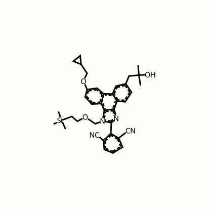 CC(C)(O)Cc1ccc2c(c1)c1cc(OCC3CC3)ccc1c1c2nc(-c2c(C#N)cccc2C#N)n1COCC[Si](C)(C)C